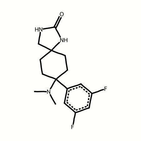 CN(C)C1(c2cc(F)cc(F)c2)CCC2(CC1)CNC(=O)N2